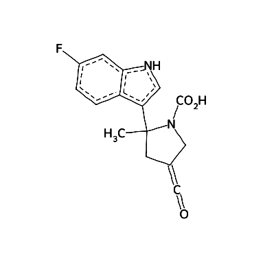 CC1(c2c[nH]c3cc(F)ccc23)CC(=C=O)CN1C(=O)O